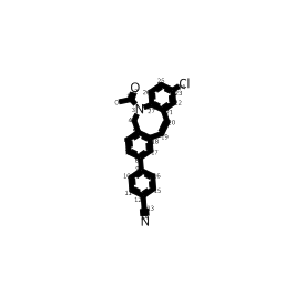 CC(=O)N1Cc2ccc(-c3ccc(C#N)cc3)cc2/C=C\c2cc(Cl)ccc21